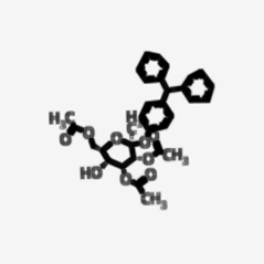 CC(=O)OC[C@H]1O[C@@](C)(Oc2ccc(C(c3ccccc3)c3ccccc3)cc2)[C@H](OC(C)=O)[C@@H](OC(C)=O)[C@H]1O